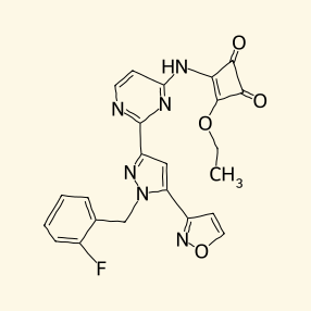 CCOc1c(Nc2ccnc(-c3cc(-c4ccon4)n(Cc4ccccc4F)n3)n2)c(=O)c1=O